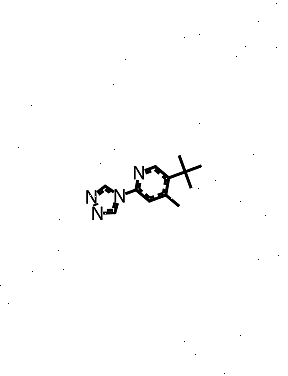 Cc1cc(-n2cnnc2)ncc1C(C)(C)C